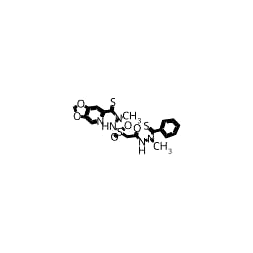 CN(NC(=O)CS(=O)(=O)NN(C)C(=S)c1cc2c(cn1)OCO2)C(=S)c1ccccc1